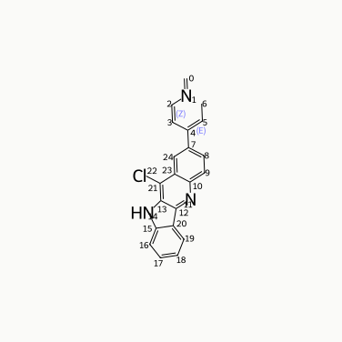 C=N/C=C\C(=C/C)c1ccc2nc3c([nH]c4ccccc43)c(Cl)c2c1